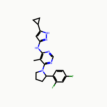 Cc1c(Nc2cc(C3CC3)[nH]n2)ncnc1N1CCCC1c1ccc(F)cc1F